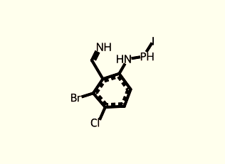 N=Cc1c(NPI)ccc(Cl)c1Br